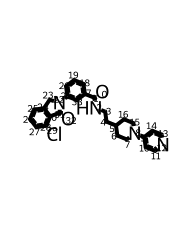 O=C(NCCC1CCN(c2ccncc2)CC1)c1cccc(N2Cc3cccc(Cl)c3C2=O)c1